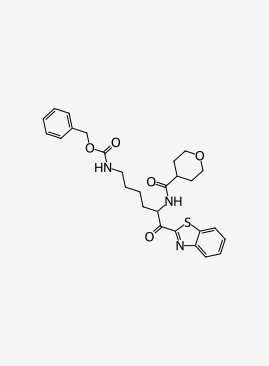 O=C(NCCCCC(NC(=O)C1CCOCC1)C(=O)c1nc2ccccc2s1)OCc1ccccc1